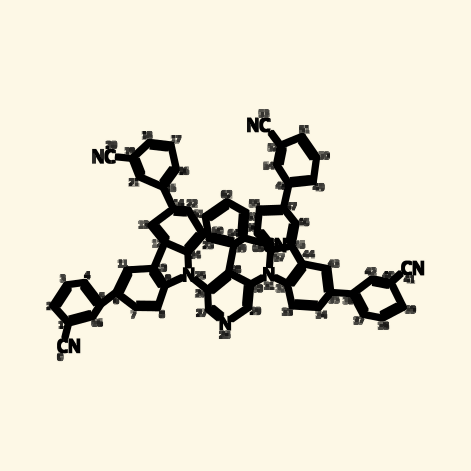 N#Cc1cccc(-c2ccc3c(c2)c2cc(-c4cccc(C#N)c4)ccc2n3-c2cncc(-n3c4ccc(-c5cccc(C#N)c5)cc4c4cc(-c5cccc(C#N)c5)ccc43)c2-c2ccccc2C#N)c1